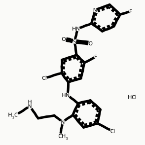 CNCCN(C)c1cc(Cl)ccc1Nc1cc(F)c(S(=O)(=O)Nc2ccc(F)cn2)cc1Cl.Cl